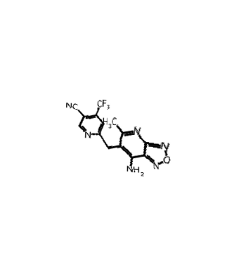 Cc1nc2nonc2c(N)c1Cc1cc(C(F)(F)F)c(C#N)cn1